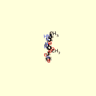 COc1cc2c(Oc3cnc4[nH]c(C)cc4c3)ncnc2cc1OCCC(=O)N1CCOCC1